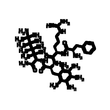 Bc1c(B)c(B)c(C[C@H](NC(=O)[C@@H](CCCNC(=N)N)NC(=O)[C@@H](N)Cc2ccccc2)C(=O)NC(C(N)=O)C(B)(B)C(B)(B)C(B)(B)C(B)(B)N)c(B)c1B